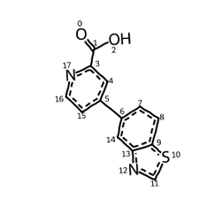 O=C(O)c1cc(-c2ccc3scnc3c2)ccn1